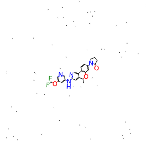 CC1Oc2cc(N3CCCC3=O)ccc2-c2cnc(Nc3cncc(OC(F)F)c3)cc21